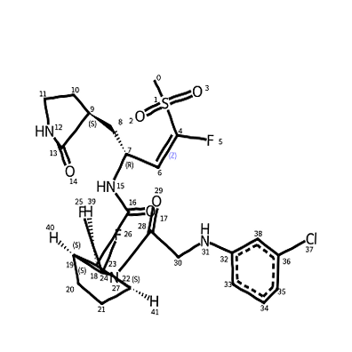 CS(=O)(=O)/C(F)=C\[C@@H](C[C@@H]1CCNC1=O)NC(=O)[C@@H]1[C@@H]2CC[C@@H](CC2(F)F)N1C(=O)CNc1cccc(Cl)c1